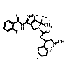 CN(C)CC(OC(=O)N1Cc2c(NC(=O)c3ccccc3F)n[nH]c2C1(C)C)C1CCCCC1